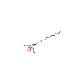 CCCCCCCCCCCCC[N+]([O-])(CCC)CCC